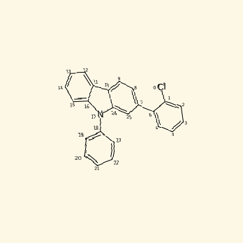 Clc1ccccc1-c1ccc2c3ccccc3n(-c3ccccc3)c2c1